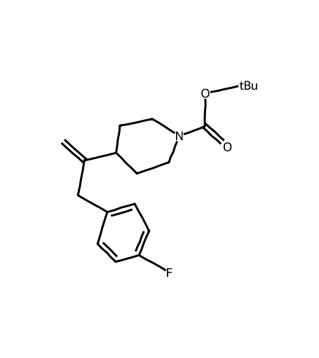 C=C(Cc1ccc(F)cc1)C1CCN(C(=O)OC(C)(C)C)CC1